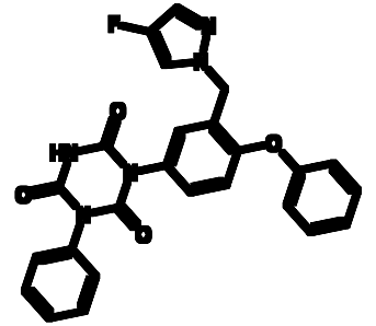 O=c1[nH]c(=O)n(-c2ccc(Oc3ccccc3)c(Cn3cc(F)cn3)c2)c(=O)n1-c1ccccc1